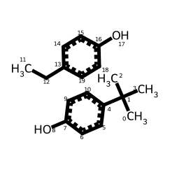 CC(C)(C)c1ccc(O)cc1.CCc1ccc(O)cc1